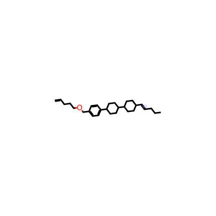 C=CCCCOCc1ccc(C2CCC(C3CCC(/C=C/CCC)CC3)CC2)cc1